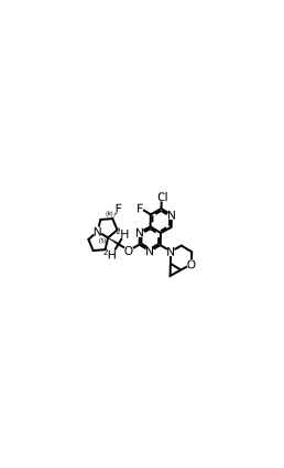 [2H]C([2H])(Oc1nc(N2CCOC3CC32)c2cnc(Cl)c(F)c2n1)[C@@]12CCCN1C[C@H](F)C2